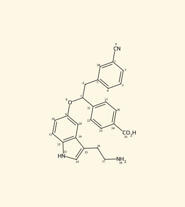 N#Cc1cccc(CC(Oc2ccc3[nH]cc(CCN)c3c2)c2ccc(C(=O)O)cc2)c1